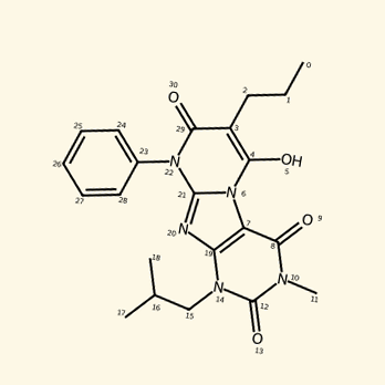 CCCc1c(O)n2c3c(=O)n(C)c(=O)n(CC(C)C)c3nc2n(-c2ccccc2)c1=O